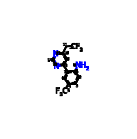 Nc1ccc(C(F)(F)F)cc1-c1cc(CC(F)(F)F)ncn1